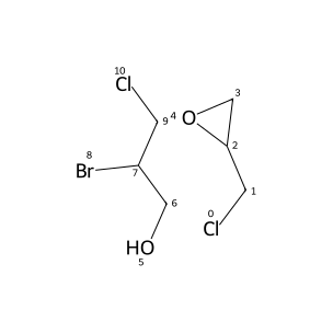 ClCC1CO1.OCC(Br)CCl